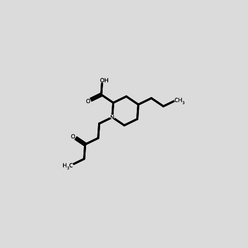 CCCC1CCN(CCC(=O)CC)C(C(=O)O)C1